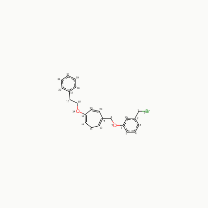 BrCc1cccc(OCC2=CCC=C(OCCc3ccccc3)C=C2)c1